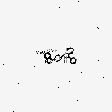 COc1cc2ncnc(N3CCN(C(=O)NC(C4=CC=CCC4)C4=COC=CO4)CC3)c2cc1OC